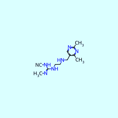 CN=C(NC#N)NCCNCc1cnc(C)nc1C